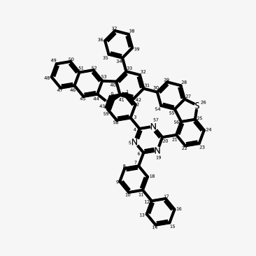 c1ccc(-c2nc(-c3cccc(-c4ccccc4)c3)nc(-c3cccc4sc5ccc(-c6cc(-c7ccccc7)c7c(c6)sc6cc8ccccc8cc67)cc5c34)n2)cc#1